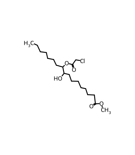 CCCCCCCC(OC(=O)CCl)C(O)CCCCCCCC(=O)OC